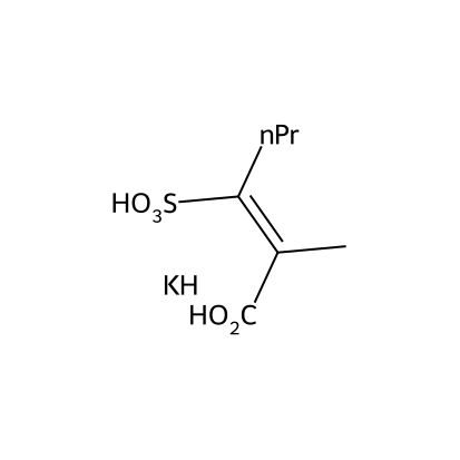 CCCC(=C(C)C(=O)O)S(=O)(=O)O.[KH]